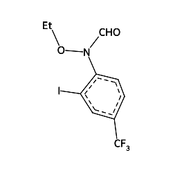 CCON(C=O)c1ccc(C(F)(F)F)cc1I